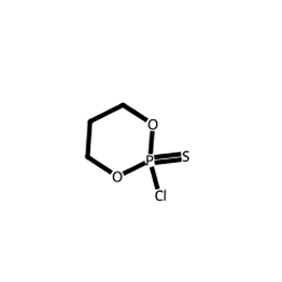 S=P1(Cl)OCCCO1